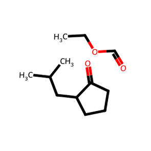 CC(C)CC1CCCC1=O.CCOC=O